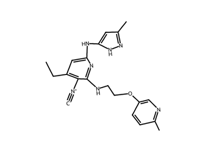 [C-]#[N+]c1c(CC)cc(Nc2cc(C)n[nH]2)nc1NCCOc1ccc(C)nc1